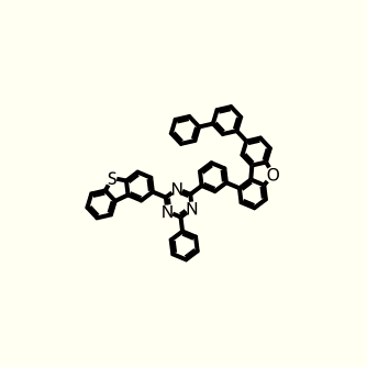 c1ccc(-c2cccc(-c3ccc4oc5cccc(-c6cccc(-c7nc(-c8ccccc8)nc(-c8ccc9sc%10ccccc%10c9c8)n7)c6)c5c4c3)c2)cc1